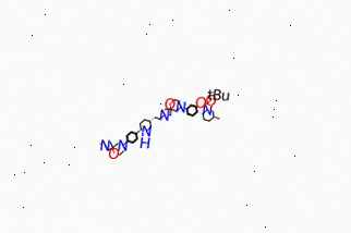 C[C@H]1CC[C@H](c2ccc(N3CCOC4(CN(CC[C@H]5CC[C@H](c6ccc(N7CCOC8(CN(C)C8)C7)cc6)NC5)C4)C3)cc2)N(C(=O)OC(C)(C)C)C1